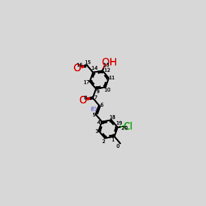 Cc1ccc(/C=C/C(=O)c2ccc(O)c(C=O)c2)cc1Cl